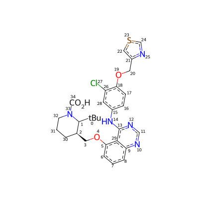 CC(C)(C)C1[C@@H](COc2cccc3ncnc(Nc4ccc(OCc5cscn5)c(Cl)c4)c23)CCCN1C(=O)O